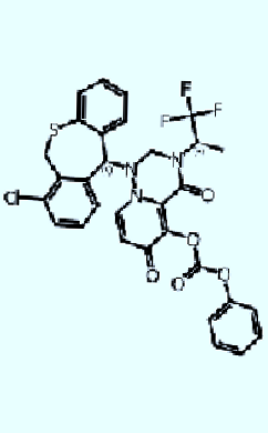 C[C@@H](N1CN([C@@H]2c3ccccc3SCc3c(Cl)cccc32)n2ccc(=O)c(OC(=O)Oc3ccccc3)c2C1=O)C(F)(F)F